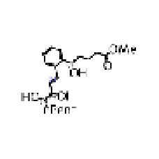 CCCCC[C@@H](O)[C@H](O)/C=C/c1ccccc1[C@@H](O)CCCC(=O)OC